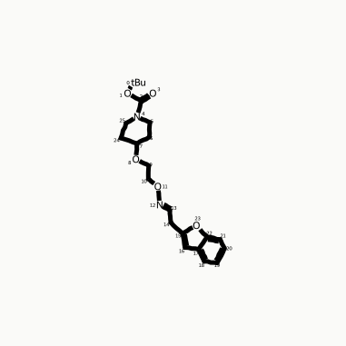 CC(C)(C)OC(=O)N1CCC(OCCON=CCc2cc3ccccc3o2)CC1